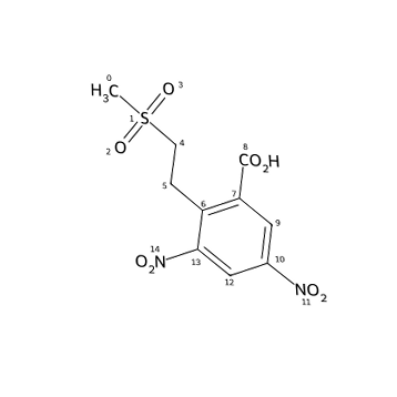 CS(=O)(=O)CCc1c(C(=O)O)cc([N+](=O)[O-])cc1[N+](=O)[O-]